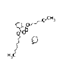 C1CCSCC1.CCCCCCCCOC(=O)c1ccccc1C(=O)OCCCCCCCC